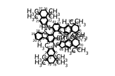 Cc1cc2c(cc1N1C3=C(Bc4c1cc1c(sc5ccccc51)c4-c1c(Nc4ccc5c(c4)C(C)(C)CCC5(C)C)ccc4c1sc1cc5c(cc14)C(C)(C)CCC5(C)C)c1cc4c(cc1C3)C(C)(C)CCC4(C)C)C(C)(C)CCC2(C)C